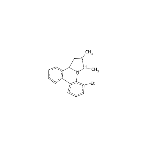 CCc1cccc2c1N1C(CN(C)[C@@H]1C)c1ccccc1-2